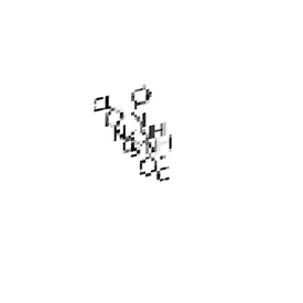 Cc1c(Cl)cccc1NC(=S)NC1N=C(c2ccccc2)c2cc(Cl)ccc2N(C)C1=O